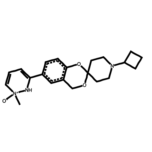 C[N+]1([O-])C=CC=C(c2ccc3c(c2)COC2(CCN(C4CCC4)CC2)O3)N1